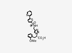 COc1ccccc1C[C@@H](C(=O)O)n1cc(CNS(=O)(=O)c2ccc(-c3ccccn3)s2)nn1